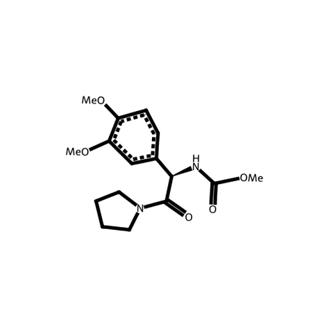 COC(=O)N[C@@H](C(=O)N1CCCC1)c1ccc(OC)c(OC)c1